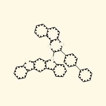 c1ccc(-c2ccc(-c3nc4ccc5ccccc5c4nc3-n3c4ccccc4c4cc5c(cc43)oc3ccccc35)cc2)cc1